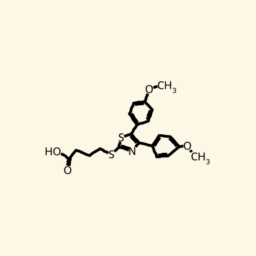 COc1ccc(-c2nc(SCCCC(=O)O)sc2-c2ccc(OC)cc2)cc1